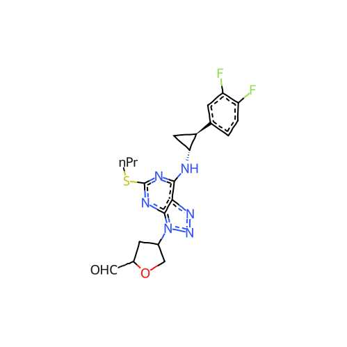 CCCSc1nc(N[C@@H]2C[C@H]2c2ccc(F)c(F)c2)c2nnn(C3COC(C=O)C3)c2n1